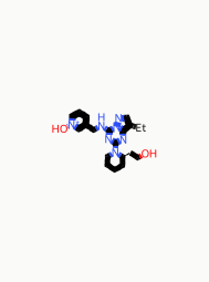 CCc1cnn2c(NCc3ccc[n+](O)c3)nc(N3CCCC[C@H]3CCO)nc12